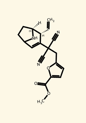 C=C[C@@H]1C(C(C#N)(C#N)Cc2ccc(C(=O)OC)o2)=CC2CC[C@@H]1N2